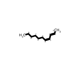 C/C=C/C=[C]\CCCCCC